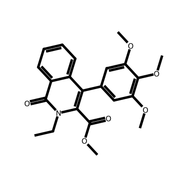 CCn1c(C(=O)OC)c(-c2cc(OC)c(OC)c(OC)c2)c2ccccc2c1=O